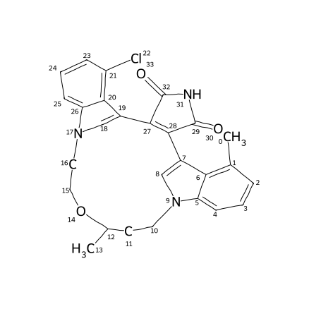 Cc1cccc2c1c1cn2CCC(C)OCCn2cc(c3c(Cl)cccc32)C2=C1C(=O)NC2=O